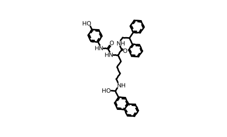 O=C(Nc1ccc(O)cc1)NC(CCCCNC(O)c1ccc2ccccc2c1)C(=O)NCC(c1ccccc1)c1ccccc1